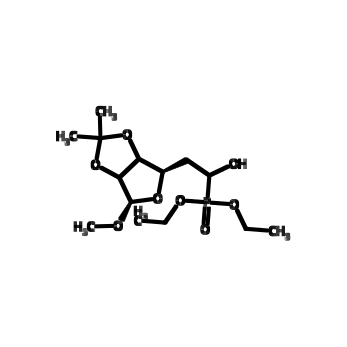 CCOP(=O)(OCC)C(O)C[C@H]1O[C@@H](OC)C2OC(C)(C)OC21